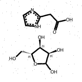 O=C(O)Cc1ncc[nH]1.OC[C@H]1OC(O)[C@H](O)[C@@H]1O